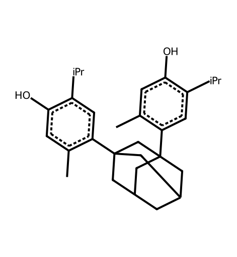 Cc1cc(O)c(C(C)C)cc1C12CC3CC(C1)CC(c1cc(C(C)C)c(O)cc1C)(C3)C2